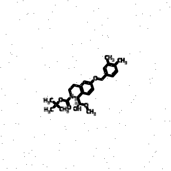 CO[C@H](O)[C@H]1c2ccc(OCc3ccc(C)c(C)c3)cc2CCN1C(=O)OC(C)(C)C